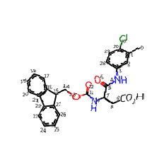 Cc1cc(NC(=O)C(CC(=O)O)NC(=O)OCC2c3ccccc3-c3ccccc32)ccc1Cl